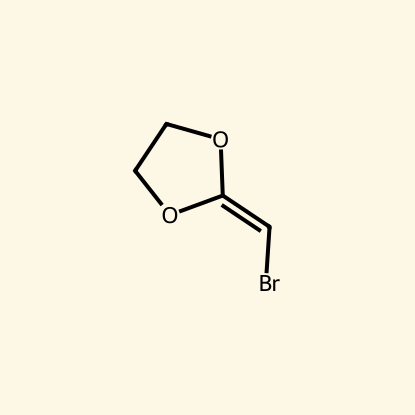 BrC=C1OCCO1